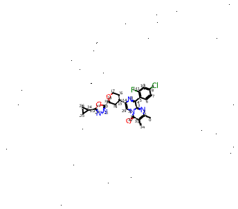 Cc1nc2c(-c3ccc(Cl)cc3F)nc([C@@H]3CCO[C@@H](c4nnc(C5CC5)o4)C3)cn2c(=O)c1C